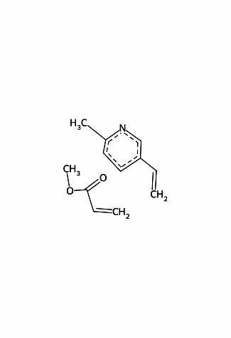 C=CC(=O)OC.C=Cc1ccc(C)nc1